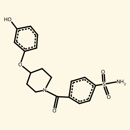 NS(=O)(=O)c1ccc(C(=O)N2CCC(Oc3cccc(O)c3)CC2)cc1